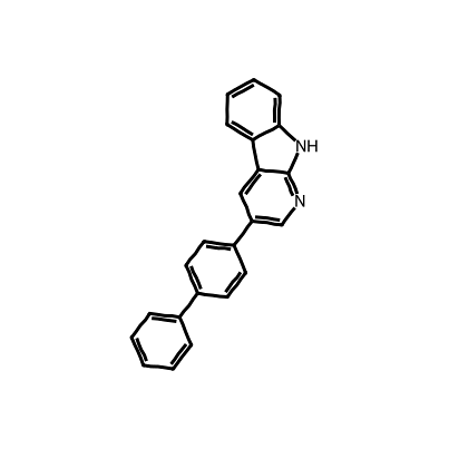 c1ccc(-c2ccc(-c3cnc4[nH]c5ccccc5c4c3)cc2)cc1